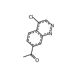 CC(=O)c1ccc2c(Cl)cnnc2c1